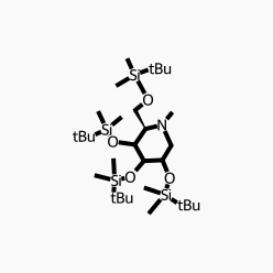 CN1CC(O[Si](C)(C)C(C)(C)C)C(O[Si](C)(C)C(C)(C)C)C(O[Si](C)(C)C(C)(C)C)[C@H]1CO[Si](C)(C)C(C)(C)C